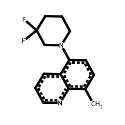 Cc1ccc(N2CCCC(F)(F)C2)c2cccnc12